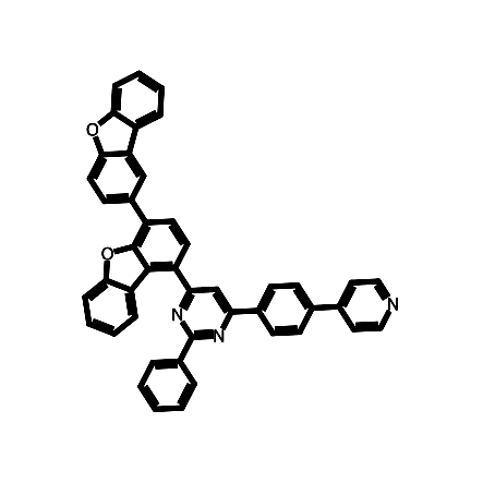 c1ccc(-c2nc(-c3ccc(-c4ccncc4)cc3)cc(-c3ccc(-c4ccc5oc6ccccc6c5c4)c4oc5ccccc5c34)n2)cc1